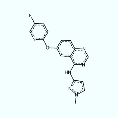 Cn1ccc(Nc2ncnc3ccc(Oc4ccc(F)cn4)cc23)n1